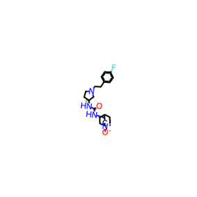 O=C(NC1C[N+]2([O-])CCC1CC2)N[C@H]1CCN(CCc2ccc(F)cc2)C1